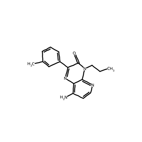 CCCn1c(=O)c(-c2cccc(C)c2)nc2c(N)ccnc21